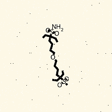 CCC(CC)(CCCCOCCCCC(CC)(CC)S(N)(=O)=O)S(C)(=O)=O